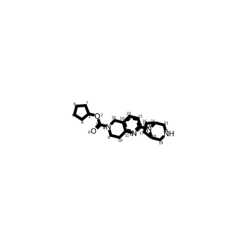 O=C(OC1CCCC1)N1CCc2nc(N3C4CCC3CNC4)ccc2C1